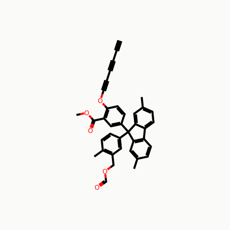 C#CC#CC#COc1ccc(C2(c3ccc(C)c(COC=O)c3)c3cc(C)ccc3-c3ccc(C)cc32)cc1C(=O)OC